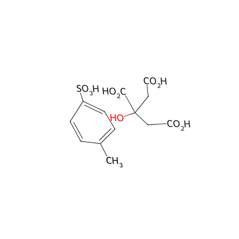 Cc1ccc(S(=O)(=O)O)cc1.O=C(O)CC(O)(CC(=O)O)C(=O)O